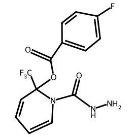 NNC(=O)N1C=CC=CC1(OC(=O)c1ccc(F)cc1)C(F)(F)F